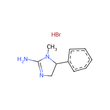 Br.CN1C(N)=NCC1c1ccccc1